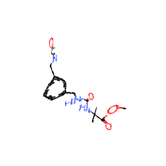 COC(=O)C(C)(C)NC(=O)NCc1cccc(CN=C=O)c1